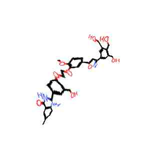 COc1ccc(-c2cc(-c3cc(CO)c(CO)c(CO)c3)no2)cc1OCCOc1ccc(C2NC(=O)c3cc(C)ccc3N2)cc1CO